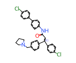 O=C(/C=C(/c1ccc(Cl)cc1)c1ccc(CN2CCCC2)cc1)Nc1ccc(-c2ccc(Cl)cc2)cc1